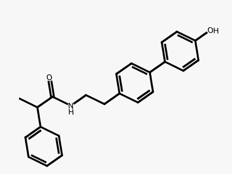 CC(C(=O)NCCc1ccc(-c2ccc(O)cc2)cc1)c1ccccc1